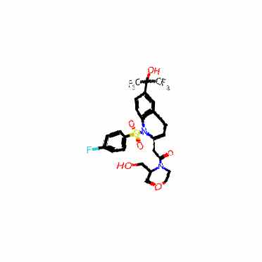 O=C(C[C@@H]1CCc2cc(C(O)(C(F)(F)F)C(F)(F)F)ccc2N1S(=O)(=O)c1ccc(F)cc1)N1CCOCC1CO